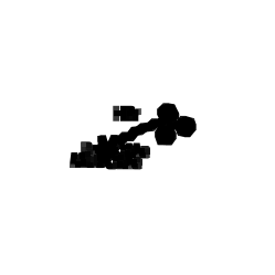 Br.COc1c(Br)c(C)c(CCCCCCCCCCc2ccccc2P(c2ccccc2)c2ccccc2)c(OC)c1OC